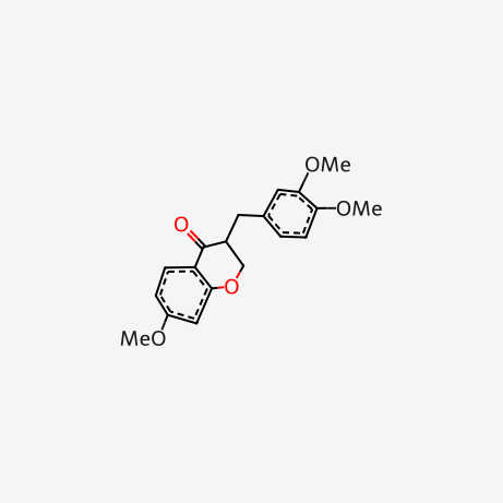 COc1ccc2c(c1)OCC(Cc1ccc(OC)c(OC)c1)C2=O